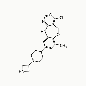 Cc1cc(C2CCN(C3CNC3)CC2)cc2c1OCc1c(Cl)ncnc1N2